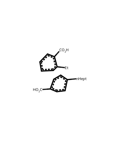 CCCCCCCc1ccc(C(=O)O)cc1.CCc1ccccc1C(=O)O